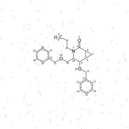 CCCN1C(=O)C2CC2C(OCc2ccccc2)C1COCc1ccccc1